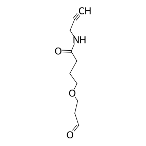 C#CCNC(=O)CCCOCCC=O